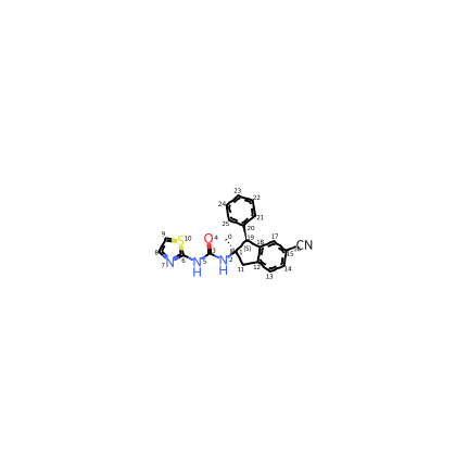 C[C@@]1(NC(=O)Nc2nccs2)Cc2ccc(C#N)cc2[C@@H]1c1ccccc1